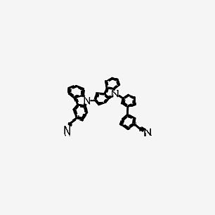 N#Cc1cccc(-c2cccc(-n3c4ccccc4c4cc(-n5c6ccccc6c6cc(C#N)ccc65)ccc43)c2)c1